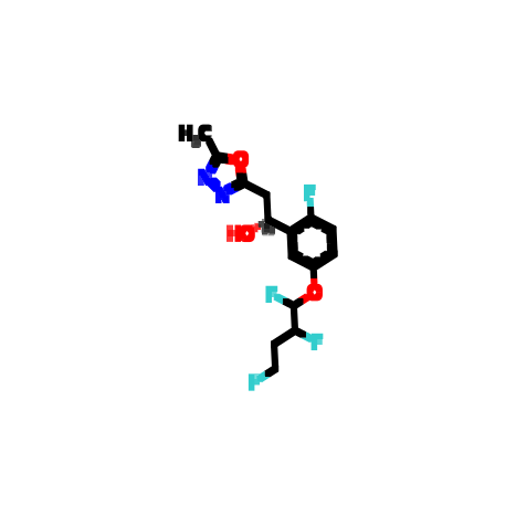 Cc1nnc(C[C@@H](O)c2cc(OC(F)C(F)CCF)ccc2F)o1